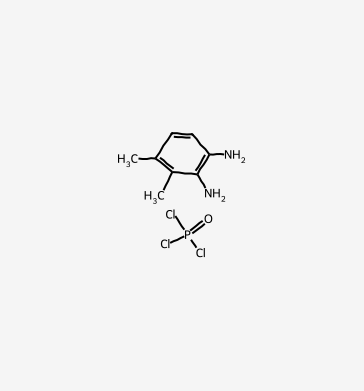 Cc1ccc(N)c(N)c1C.O=P(Cl)(Cl)Cl